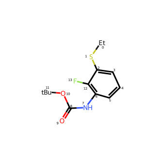 CCSc1cccc(NC(=O)OC(C)(C)C)c1F